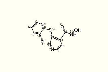 O=C(NO)c1ccnnc1Sc1ncccc1Br